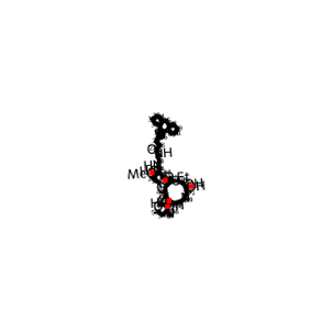 CC[C@H]1OC(=O)[C@H](C)[C@@H](O[C@H]2C[C@@](C)(OC)[C@](O)(CNCCNC(=O)/C=C/c3cc4c(s3)-c3ccccc3Cc3ccccc3-4)[C@H](C)O2)[C@H](C)[C@@H](O[C@@H]2O[C@H](C)C[C@H](N(C)C)[C@H]2O)[C@](C)(O)C[C@@H](C)CN(C)[C@H](C)[C@@H](O)[C@]1(C)O